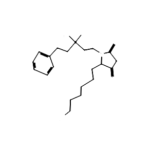 CCOC(=O)CCCCCCC1C(=O)CC(=O)N1CCC(C)(O)CCc1ccccc1